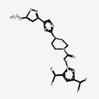 O=C(O)OC1CC(c2csc(C3CCN(C(=O)Cn4nc(C(F)F)cc4C(F)F)CC3)n2)=NO1